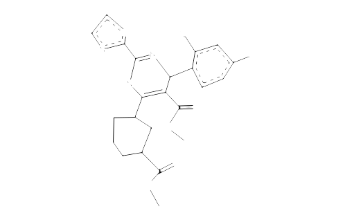 COC(=O)C1=C(C2CCCC(C(=O)OC)C2)NC(c2nccs2)=NC1c1ccc(F)cc1Cl